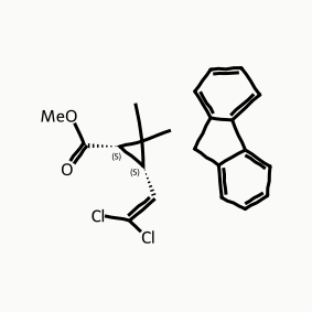 COC(=O)[C@H]1[C@@H](C=C(Cl)Cl)C1(C)C.c1ccc2c(c1)Cc1ccccc1-2